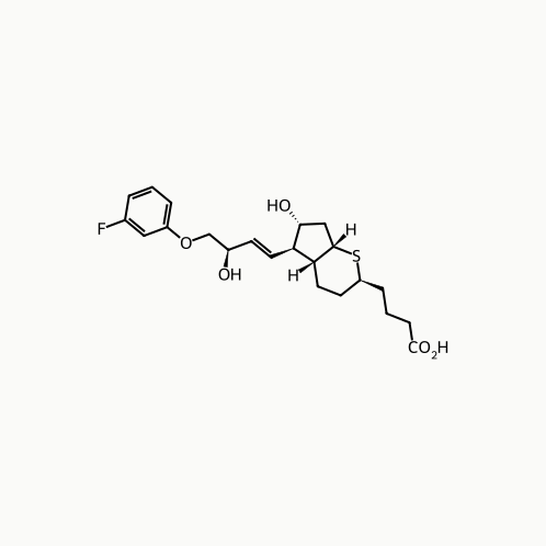 O=C(O)CCC[C@H]1CC[C@@H]2[C@@H](/C=C/[C@@H](O)COc3cccc(F)c3)[C@H](O)C[C@@H]2S1